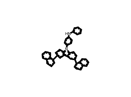 c1ccc(Nc2ccc(-n3c4ccc(-c5cccc6ccccc56)cc4c4cc(-c5cccc6ccccc56)ccc43)cc2)cc1